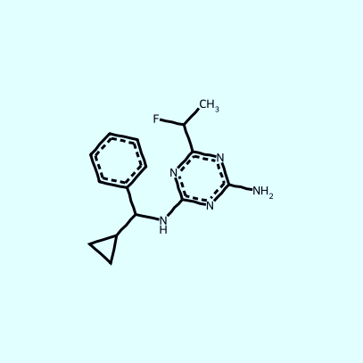 CC(F)c1nc(N)nc(NC(c2ccccc2)C2CC2)n1